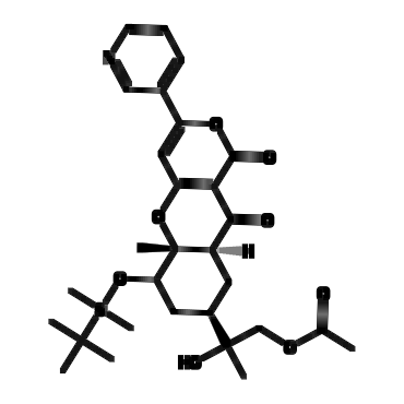 CC(=O)OCC(C)(O)[C@H]1CC(O[Si](C)(C)C(C)(C)C)[C@]2(C)Oc3cc(-c4cccnc4)oc(=O)c3C(=O)[C@H]2C1